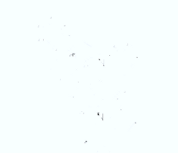 C1=CC2C3C=C(C4CC=CC5C6C=CCCC6N(c6ccc(C7=CCCCC7)cc6)C45)CCC3N(c3ccc(-c4ccccc4)cc3)C2C=C1